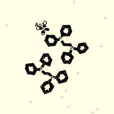 CS(=O)(=O)[O-].[Ag+].c1ccc(P(CCP(c2ccccc2)c2ccccc2)c2ccccc2)cc1.c1ccc(P(CCP(c2ccccc2)c2ccccc2)c2ccccc2)cc1